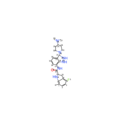 Cc1ccc(F)c2c1NC(C(=O)Nc1cccc3c1NNC3N1CCC(N(C)C)CC1)C2